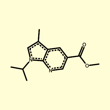 COC(=O)c1cnc2c(c1)c(C)cn2C(C)C